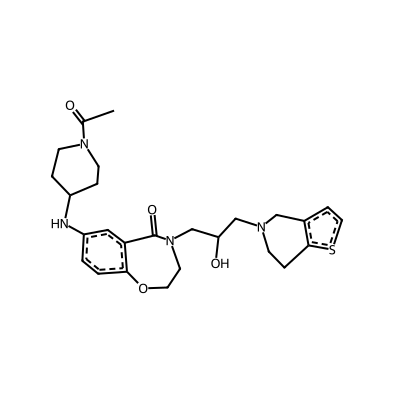 CC(=O)N1CCC(Nc2ccc3c(c2)C(=O)N(CC(O)CN2CCc4sccc4C2)CCO3)CC1